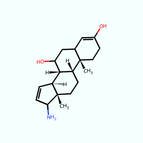 C[C@]12CCC(O)=CC1CC(O)[C@@H]1[C@H]2CC[C@]2(C)C(N)C=C[C@@H]12